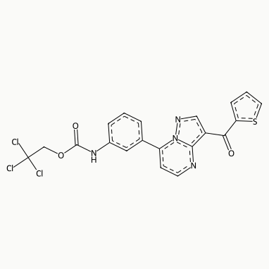 O=C(Nc1cccc(-c2ccnc3c(C(=O)c4cccs4)cnn23)c1)OCC(Cl)(Cl)Cl